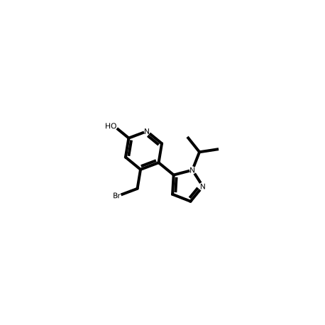 CC(C)n1nccc1-c1cnc(O)cc1CBr